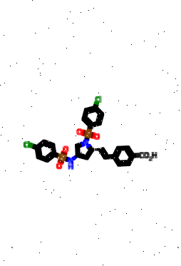 O=C(O)c1ccc(C=C[C@@H]2C[C@@H](NS(=O)(=O)c3ccc(Cl)cc3)CN2S(=O)(=O)c2ccc(Cl)cc2)cc1